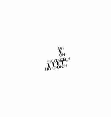 O=C(O)O.O=C(O)O.O=C(O)O.OO.OO